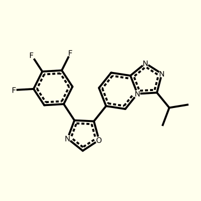 CC(C)c1nnc2ccc(-c3ocnc3-c3cc(F)c(F)c(F)c3)cn12